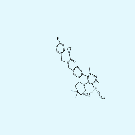 Cc1nc(C)c([C@H](OC(C)(C)C)C(=O)O)c(N2CCC(C)(C)CC2)c1-c1ccc(CN(Cc2ccc(F)cc2)C(=O)C2CC2)cc1